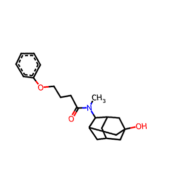 CN(C(=O)CCCOc1ccccc1)C1C2CC3CC1CC(O)(C3)C2